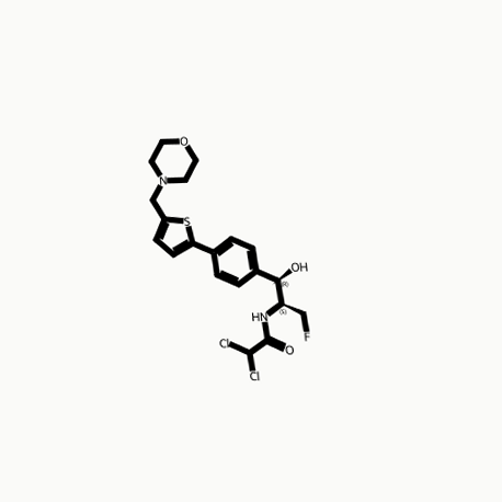 O=C(N[C@H](CF)[C@H](O)c1ccc(-c2ccc(CN3CCOCC3)s2)cc1)C(Cl)Cl